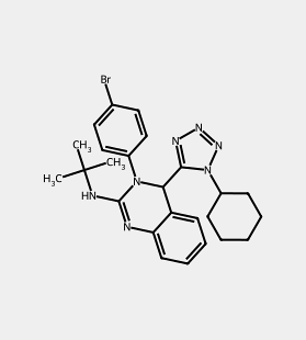 CC(C)(C)NC1=Nc2ccccc2C(c2nnnn2C2CCCCC2)N1c1ccc(Br)cc1